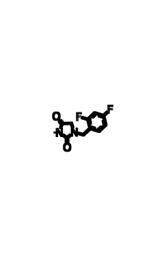 O=C1CN(Cc2ccc(F)cc2F)C(=O)[N]1